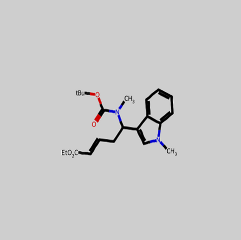 CCOC(=O)C=CCC(c1cn(C)c2ccccc12)N(C)C(=O)OC(C)(C)C